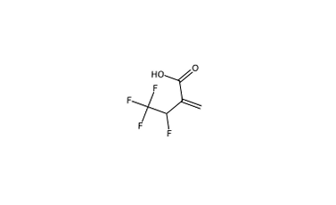 C=C(C(=O)O)C(F)C(F)(F)F